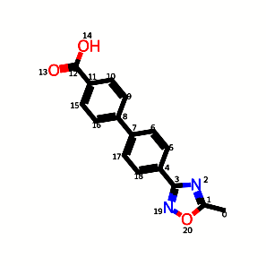 Cc1nc(-c2ccc(-c3ccc(C(=O)O)cc3)cc2)no1